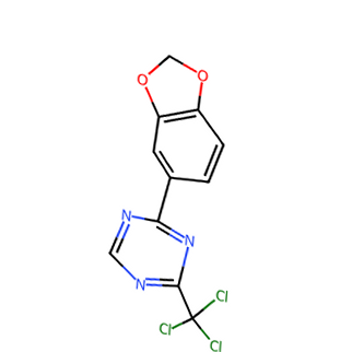 ClC(Cl)(Cl)c1ncnc(-c2ccc3c(c2)OCO3)n1